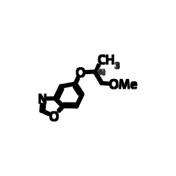 COC[C@H](C)Oc1ccc2ocnc2c1